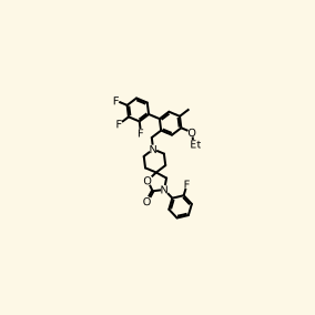 CCOc1cc(CN2CCC3(CC2)CN(c2ccccc2F)C(=O)O3)c(-c2ccc(F)c(F)c2F)cc1C